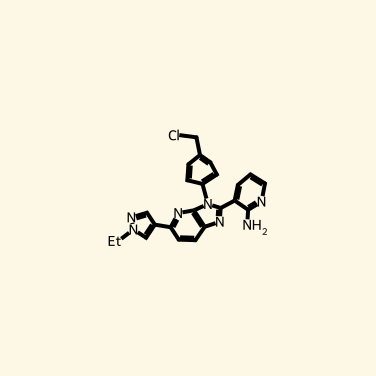 CCn1cc(-c2ccc3nc(-c4cccnc4N)n(-c4ccc(CCl)cc4)c3n2)cn1